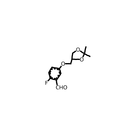 CC1(C)OCC(COc2ccc(F)c(C=O)c2)O1